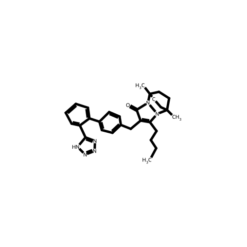 CCCCc1c(Cc2ccc(-c3ccccc3-c3nnn[nH]3)cc2)c(=O)n2n1C1(C)CCC2(C)CC1